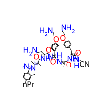 C=N/C(=N\C(C)=C(/C)C(=O)N[C@@H](CCN)C(=O)N(C)[C@@H]1C(=O)N[C@@H](C)C(=O)N[C@H](C(=O)NCC#N)Cc2ccc(OCCN)c(c2)-c2cc1ccc2OCCN)c1ccc(CCC)cc1C